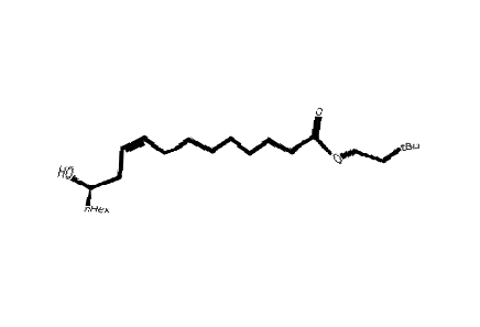 CCCCCC[C@@H](O)C/C=C\CCCCCCCC(=O)OCCC(C)(C)C